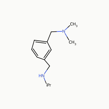 CC(C)NCc1cccc(CN(C)C)c1